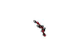 O=C=NCCCCC(N=C=O)C(=O)OCCOC(=O)C(CCCCN=C=O)N=C=O